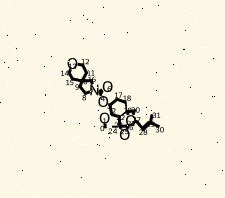 CO[C@@H]1[C@H](OC(=O)N2CCC3(CCOCC3)C2)CC[C@]2(CO2)[C@H]1[C@@]1(C)O[C@@H]1CC=C(C)C